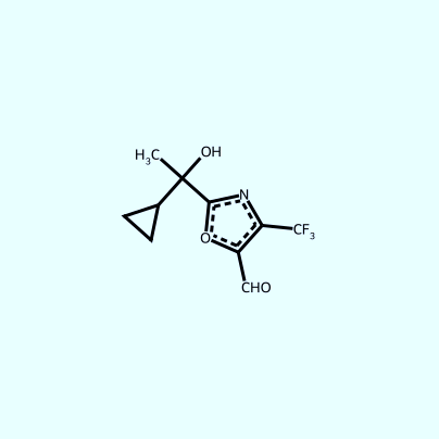 CC(O)(c1nc(C(F)(F)F)c(C=O)o1)C1CC1